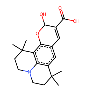 CC1(C)CCN2CCC(C)(C)c3c4c(cc1c32)C=C(C(=O)O)C(O)O4